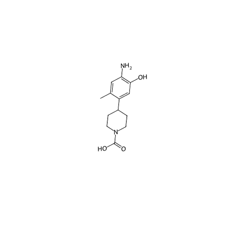 Cc1cc(N)c(O)cc1C1CCN(C(=O)O)CC1